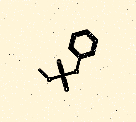 COS(=O)(=O)Oc1ccccc1